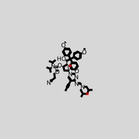 CC#Cc1cn([C@H]2C[C@H](OP(OCCC#N)N(C(C)C)C(C)C)[C@@H](C(O)C(c3ccccc3)(c3ccc(OC)cc3)c3ccc(OC)cc3)O2)c(=O)nc1N=CN(CC(C)C)CC(C)C